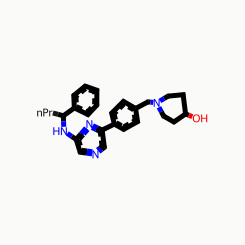 CCCC(Nc1cncc(-c2ccc(CN3CCC(O)CC3)cc2)n1)c1ccccc1